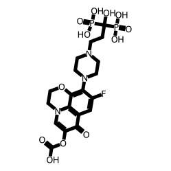 O=C(O)Oc1cn2c3c(c(N4CCN(CCC(O)(P(=O)(O)O)P(=O)(O)O)CC4)c(F)cc3c1=O)OCC2